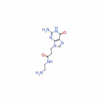 NCCNC(=O)CCn1cnc2c(=O)[nH]c(N)nc21